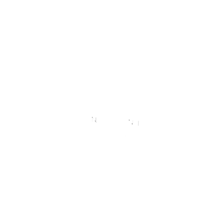 CCCCC(CC)CNCC(CC)CCCC.CCCCCCCCN(CCCCCCCC)CCCCCCCC